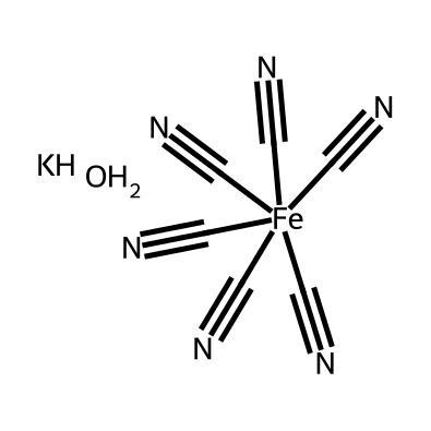 N#[C][Fe]([C]#N)([C]#N)([C]#N)([C]#N)[C]#N.O.[KH]